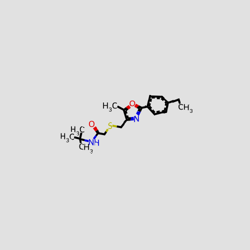 CCc1ccc(-c2nc(CSCC(=O)NC(C)(C)C)c(C)o2)cc1